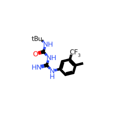 Cc1ccc(NC(=N)NC(=O)NC(C)(C)C)cc1C(F)(F)F